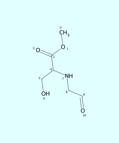 COC(=O)C(CO)NCC=O